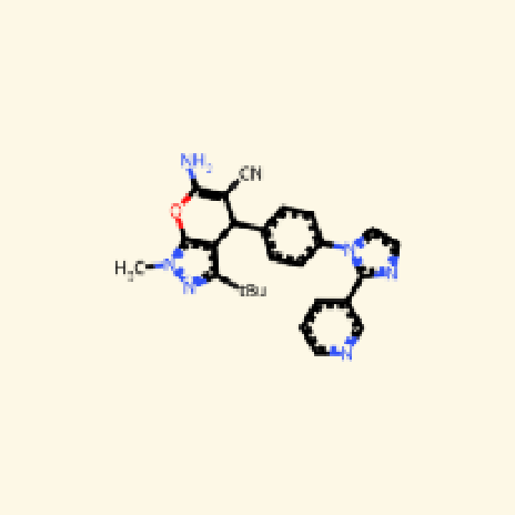 Cn1nc(C(C)(C)C)c2c1OC(N)=C(C#N)C2c1ccc(-n2ccnc2-c2cccnc2)cc1